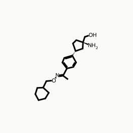 C/C(=N\OCC1CCCCC1)c1ccc([C@@H]2CC[C@](N)(CO)C2)cc1